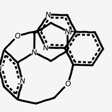 c1cc2c3nc(ncc3c1)Oc1ncc(nc1N1CCNCC1)CCO2